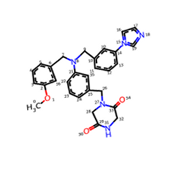 COc1cccc(CN(Cc2cccc(-n3ccnc3)c2)c2cccc(CN3CC(=O)NCC3=O)c2)c1